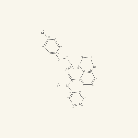 CCN(C(=O)c1cccc2c1N(C(=O)CCc1ccc(C#N)cc1)CCC2)c1ccccc1